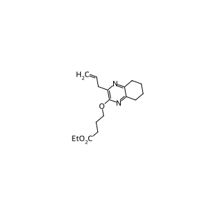 C=CCc1nc2c(nc1OCCCC(=O)OCC)CCCC2